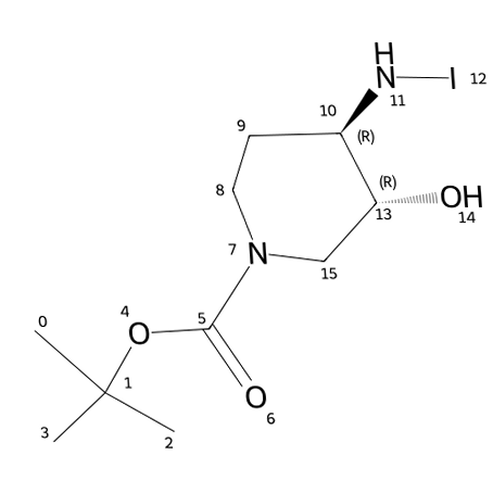 CC(C)(C)OC(=O)N1CC[C@@H](NI)[C@H](O)C1